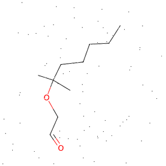 CCCCCC(C)(C)OCC=O